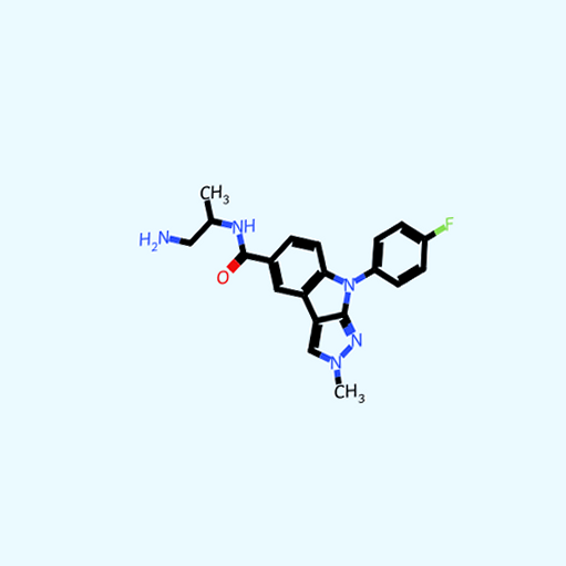 CC(CN)NC(=O)c1ccc2c(c1)c1cn(C)nc1n2-c1ccc(F)cc1